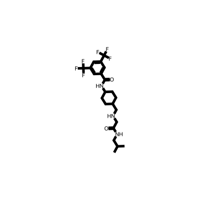 CC(C)CNC(=O)CNCC1CCC(NC(=O)c2cc(C(F)(F)F)cc(C(F)(F)F)c2)CC1